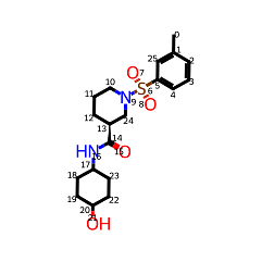 Cc1cccc(S(=O)(=O)N2CCC[C@H](C(=O)NC3CCC(O)CC3)C2)c1